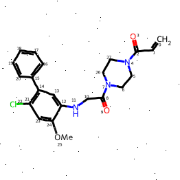 C=CC(=O)N1CCN(C(=O)CNc2cc(-c3ccccc3)c(Cl)cc2OC)CC1